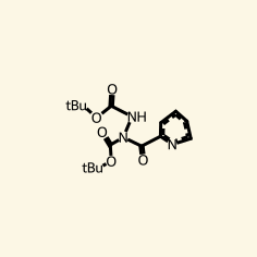 CC(C)(C)OC(=O)NN(C(=O)OC(C)(C)C)C(=O)c1ccccn1